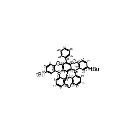 CC(C)(C)c1ccc2c(c1)B1c3cccc4c3N3c5c(cccc5B5c6cc(C(C)(C)C)ccc6Oc6c5c3c1c(c6-c1ccccc1)O2)O4